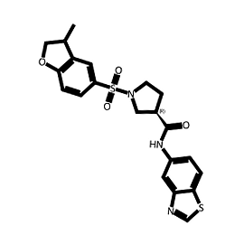 CC1COc2ccc(S(=O)(=O)N3CC[C@@H](C(=O)Nc4ccc5scnc5c4)C3)cc21